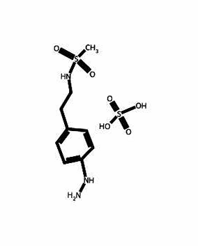 CS(=O)(=O)NCCc1ccc(NN)cc1.O=S(=O)(O)O